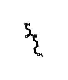 C/C=C\C=C/CNC(=O)CCO